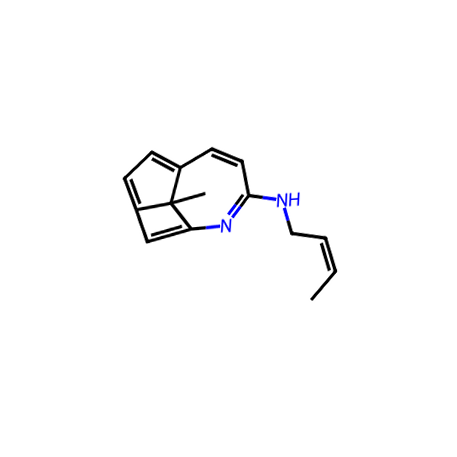 C/C=C\CNC1=NC2=CC3=CC=C(C=C1)C32C